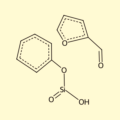 O=Cc1ccco1.O=[Si](O)Oc1ccccc1